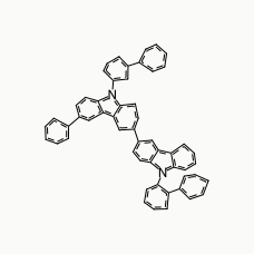 c1ccc(-c2cccc(-n3c4ccc(-c5ccccc5)cc4c4cc(-c5ccc6c(c5)c5ccccc5n6-c5ccccc5-c5ccccc5)ccc43)c2)cc1